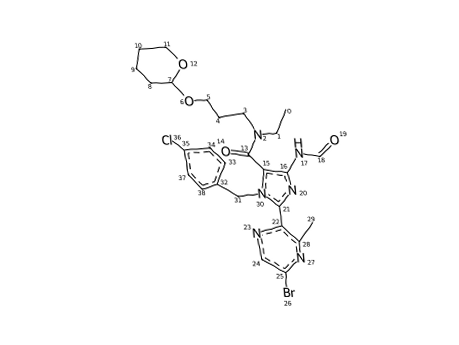 CCN(CCCOC1CCCCO1)C(=O)c1c(NC=O)nc(-c2ncc(Br)nc2C)n1Cc1ccc(Cl)cc1